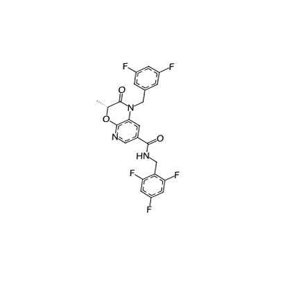 C[C@H]1Oc2ncc(C(=O)NCc3c(F)cc(F)cc3F)cc2N(Cc2cc(F)cc(F)c2)C1=O